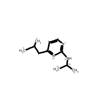 CC(C)Cc1ccnc(NC(C)C)n1